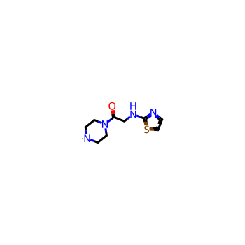 O=C(CNc1nccs1)N1CC[N]CC1